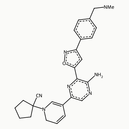 CNCc1ccc(-c2cc(-c3nc(C4=CN(C5(C#N)CCCC5)CC=C4)cnc3N)on2)cc1